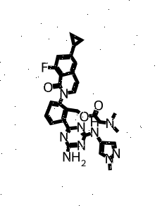 CN(C)CC(=O)OCc1c(-c2nc(N)nc(Nc3cnn(C)c3)n2)cccc1-n1ccc2cc(C3CC3)cc(F)c2c1=O